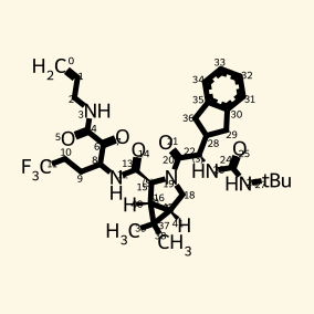 C=CCNC(=O)C(=O)C(CCC(F)(F)F)NC(=O)[C@@H]1[C@@H]2[C@H](CN1C(=O)[C@@H](NC(=O)NC(C)(C)C)C1Cc3ccccc3C1)C2(C)C